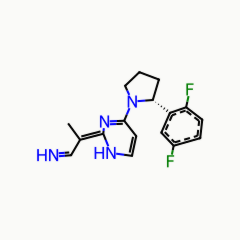 C/C(C=N)=C1\N=C(N2CCC[C@@H]2c2cc(F)ccc2F)C=CN1